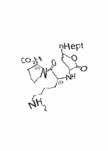 CCCCCCCC1CC(N[C@@H](CCCCN)C(=O)N2CCC[C@H]2C(=O)O)C(=O)O1